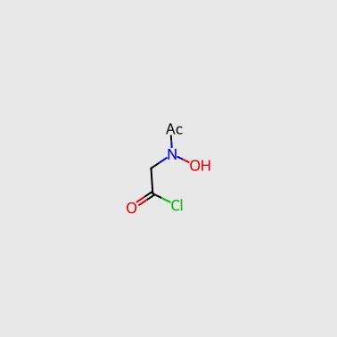 CC(=O)N(O)CC(=O)Cl